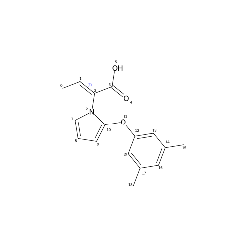 C/C=C(/C(=O)O)n1cccc1Oc1cc(C)cc(C)c1